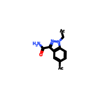 CC(=O)Cn1nc(C(N)=O)c2cc(C(C)=O)ccc21